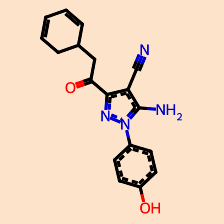 N#Cc1c(C(=O)CC2C=CC=CC2)nn(-c2ccc(O)cc2)c1N